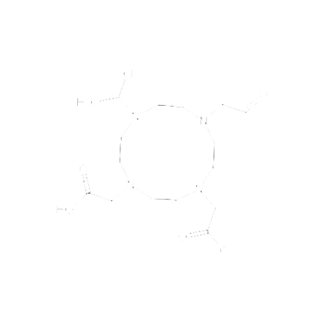 CC(C)N1CCN(CC=O)CCN(CC(=O)O)CCN(CC(=O)O)CC1